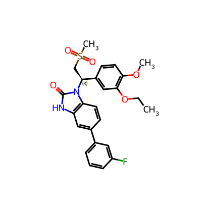 CCOc1cc([C@H](CS(C)(=O)=O)n2c(=O)[nH]c3cc(-c4cccc(F)c4)ccc32)ccc1OC